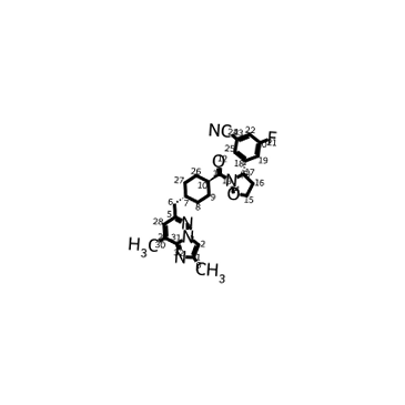 Cc1cn2nc(C[C@H]3CC[C@H](C(=O)N4OCC[C@H]4c4cc(F)cc(C#N)c4)CC3)cc(C)c2n1